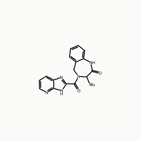 CCC(C)C1C(=O)Nc2ccccc2CN1C(=O)c1nc2cccnc2[nH]1